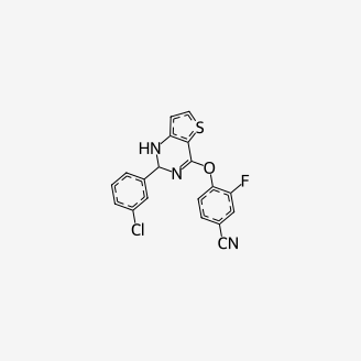 N#Cc1ccc(OC2=NC(c3cccc(Cl)c3)Nc3ccsc32)c(F)c1